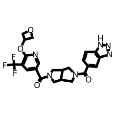 O=C(c1cnc(OC2COC2)c(C(F)(F)F)c1)N1CC2CN(C(=O)c3ccc4[nH]nnc4c3)CC2C1